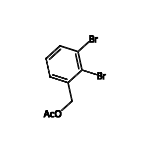 CC(=O)OCc1cccc(Br)c1Br